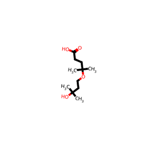 CC(C)(O)CCOC(C)(C)CCC(=O)O